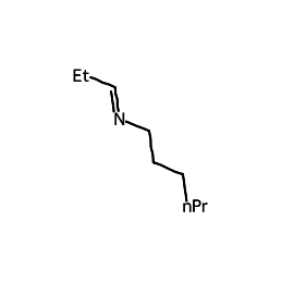 CCC=NCCCCCC